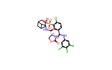 O=C1N[C@@H](C(=O)NC[C@]2(O)C3CC2C[C@@H](S(=O)(=O)c2cc(C(=O)Nc4cc(F)c(F)c(F)c4)ccc2Cl)C3)CO1